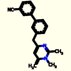 C=C1C=C(Cc2cccc(-c3cccc(C#N)c3)c2)N=C(C)N1C